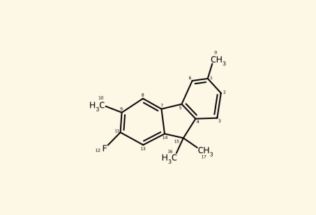 Cc1ccc2c(c1)-c1cc(C)c(F)cc1C2(C)C